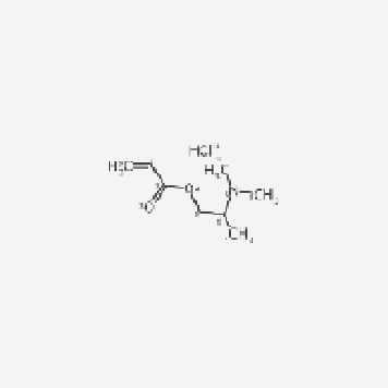 C=CC(=O)OCC(C)N(C)C.Cl